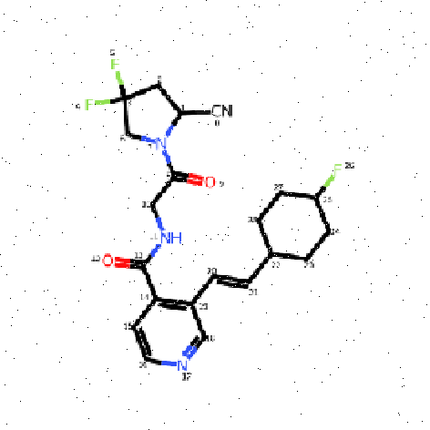 N#CC1CC(F)(F)CN1C(=O)CNC(=O)c1ccncc1C=CC1CCC(F)CC1